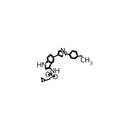 CCc1ccc(-n2cc(-c3ccc4[nH]cc(NS(=O)(=O)CC5CC5)c4c3)cn2)cc1